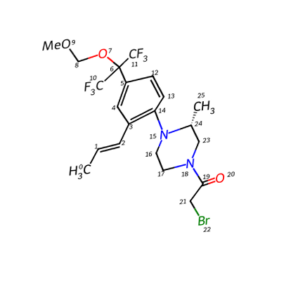 CC=Cc1cc(C(OCOC)(C(F)(F)F)C(F)(F)F)ccc1N1CCN(C(=O)CBr)C[C@H]1C